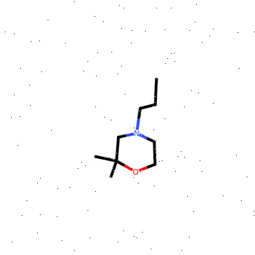 CCCN1CCOC(C)(C)C1